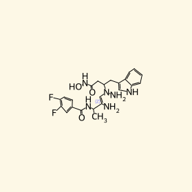 CC(NC(=O)c1ccc(F)c(F)c1)/C(N)=C/N(N)C(CC(=O)NO)Cc1c[nH]c2ccccc12